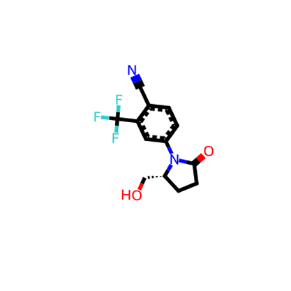 N#Cc1ccc(N2C(=O)CC[C@@H]2CO)cc1C(F)(F)F